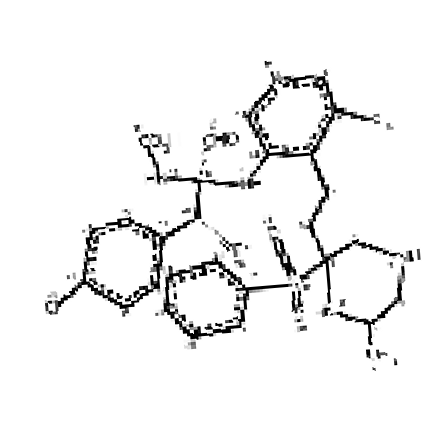 CC1CNCC(CCc2c(F)cncc2N[C@](C=O)(NC(=O)O)[C@@H](c2ccc(Cl)cc2)C(C)C)(S(=O)(=O)c2ccccc2)N1